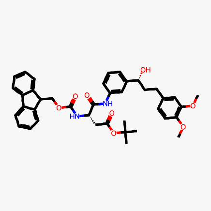 COc1ccc(CC[C@@H](O)c2cccc(NC(=O)[C@H](CC(=O)OC(C)(C)C)NC(=O)OCC3c4ccccc4-c4ccccc43)c2)cc1OC